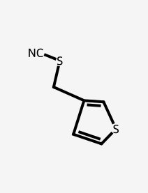 N#CSCc1ccsc1